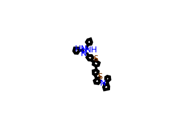 c1ccc(C2=NC(c3ccc4c(c3)sc3ccc(-c5ccc6c(c5)sc5c(-n7c8ccccc8c8ccccc87)cccc56)cc34)NC(c3ccccc3)N2)cc1